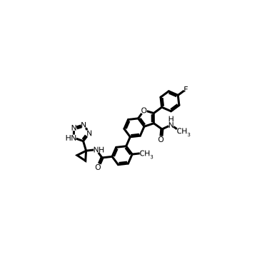 CNC(=O)c1c(-c2ccc(F)cc2)oc2ccc(-c3cc(C(=O)NC4(c5nnn[nH]5)CC4)ccc3C)cc12